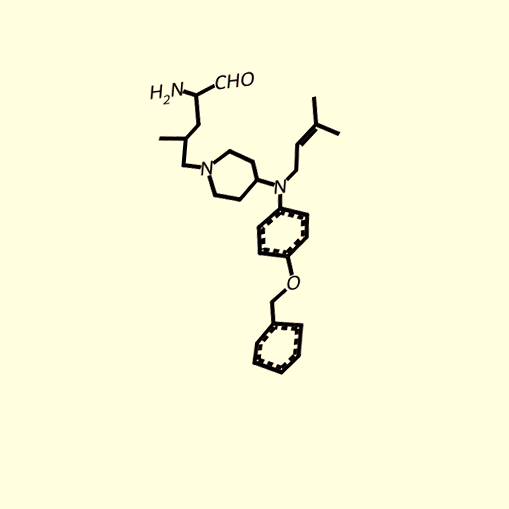 CC(C)=CCN(c1ccc(OCc2ccccc2)cc1)C1CCN(CC(C)CC(N)C=O)CC1